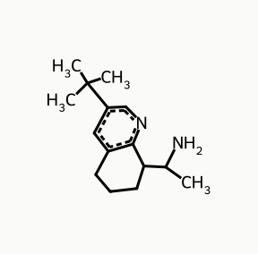 CC(N)C1CCCc2cc(C(C)(C)C)cnc21